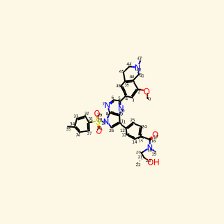 COc1cc(-c2cnc3c(n2)c(-c2ccc(C(=O)N(C)C[C@@H](C)O)cc2)cn3S(=O)(=O)c2ccc(C)cc2)cc2c1CN(C)CC2